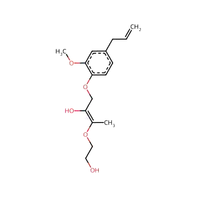 C=CCc1ccc(OC/C(O)=C(\C)OCCO)c(OC)c1